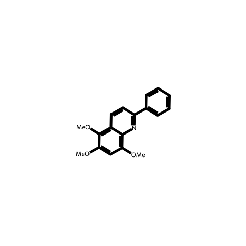 COc1cc(OC)c2nc(-c3ccccc3)ccc2c1OC